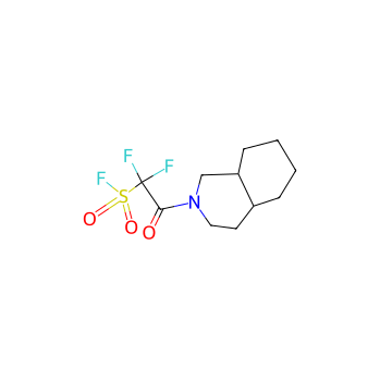 O=C(N1CCC2CCCCC2C1)C(F)(F)S(=O)(=O)F